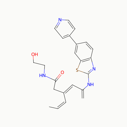 C=C(/C=C(\C=C/C)CC(=O)NCCO)Nc1nc2ccc(-c3ccncc3)cc2s1